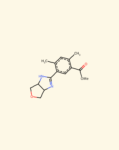 COC(=O)c1cc(C2=NC3COCC3N2)c(C)cc1C